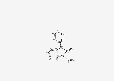 C=CC1C(=O)N([n+]2ccccc2)c2ccccc21